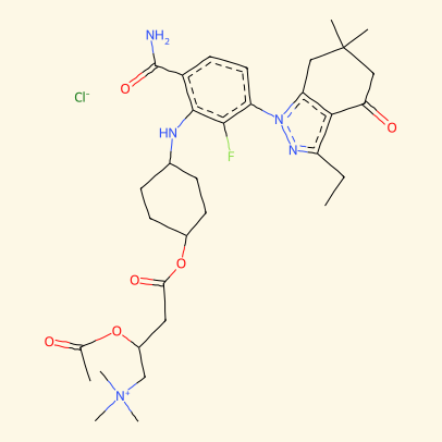 CCc1nn(-c2ccc(C(N)=O)c(NC3CCC(OC(=O)CC(C[N+](C)(C)C)OC(C)=O)CC3)c2F)c2c1C(=O)CC(C)(C)C2.[Cl-]